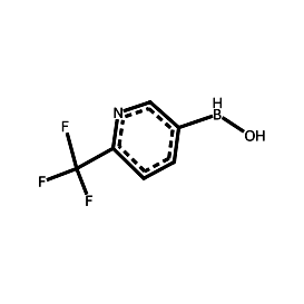 OBc1ccc(C(F)(F)F)nc1